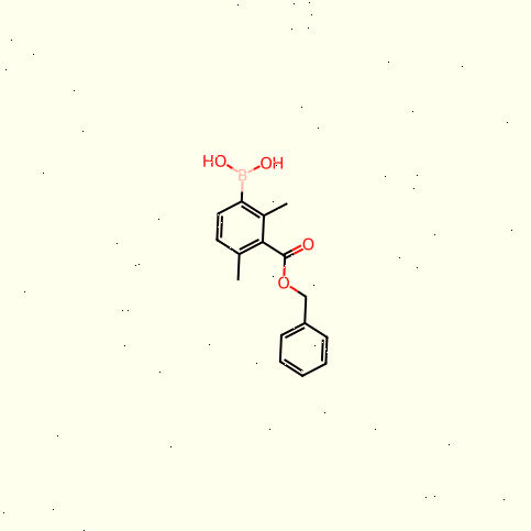 Cc1ccc(B(O)O)c(C)c1C(=O)OCc1ccccc1